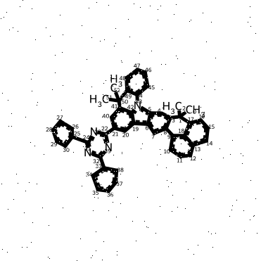 CC1(C)c2cc3c(cc2-c2cccc4cccc1c24)c1cc(-c2nc(-c4ccccc4)nc(-c4ccccc4)n2)cc2c1n3-c1ccccc1C2(C)C